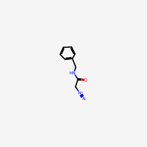 N#[N+]CC(=O)NCc1ccccc1